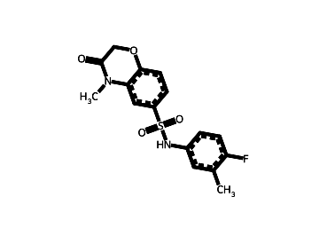 Cc1cc(NS(=O)(=O)c2ccc3c(c2)N(C)C(=O)CO3)ccc1F